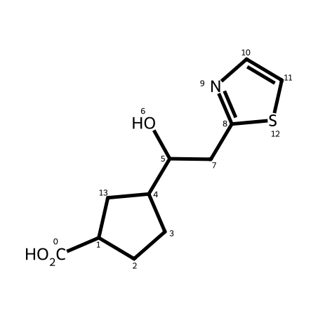 O=C(O)C1CCC(C(O)Cc2nccs2)C1